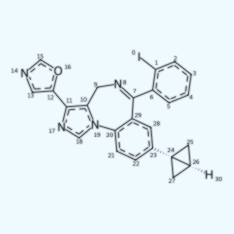 Ic1ccccc1C1=NCc2c(-c3cnco3)ncn2-c2ccc([C@]34C[C@H]3C4)cc21